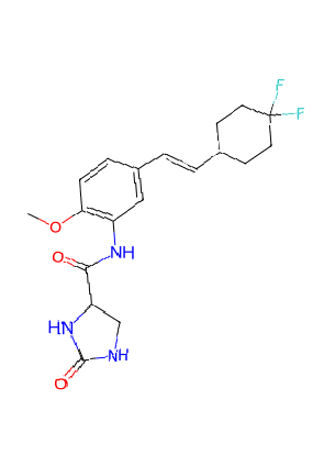 COc1ccc(C=CC2CCC(F)(F)CC2)cc1NC(=O)C1CNC(=O)N1